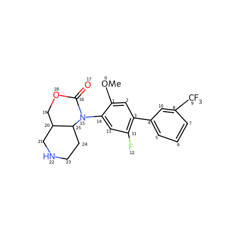 COc1cc(-c2cccc(C(F)(F)F)c2)c(F)cc1N1C(=O)OCC2CNCCC21